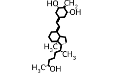 C=C1[C@H](O)CC(=C/C=C2\CCC[C@@]3(C)C2CC[C@@H]3[C@@H](C)CCC[C@@H](C)O)C[C@H]1O